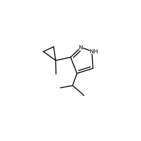 CC(C)c1c[nH]nc1C1(C)CC1